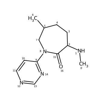 CNC1CCC(C)CN(c2ccncn2)C1=O